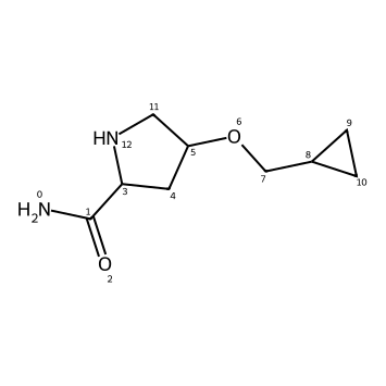 NC(=O)C1CC(OCC2CC2)CN1